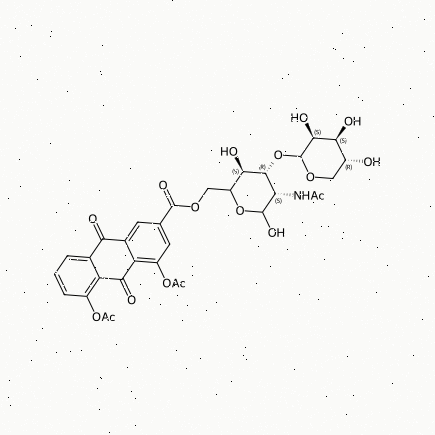 CC(=O)N[C@@H]1C(O)OC(COC(=O)c2cc(OC(C)=O)c3c(c2)C(=O)c2cccc(OC(C)=O)c2C3=O)[C@@H](O)[C@@H]1OC1OC[C@@H](O)[C@H](O)[C@@H]1O